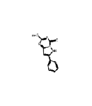 CSc1nc(=O)n2[nH]c(-c3ccccc3)cc2n1